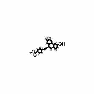 COC(=O)c1ccc(C#C/C=C/c2ccc(O)cc2-c2ccc(C)cc2)cc1